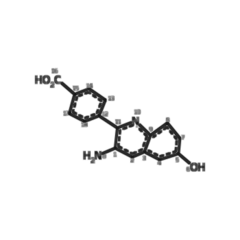 Nc1cc2cc(O)ccc2nc1-c1ccc(C(=O)O)cc1